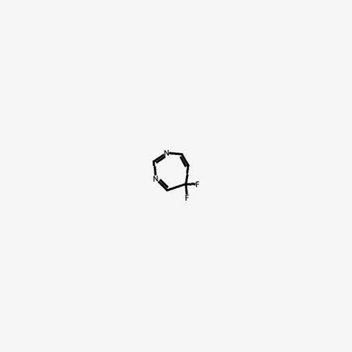 FC1(F)C=CN=CN=C1